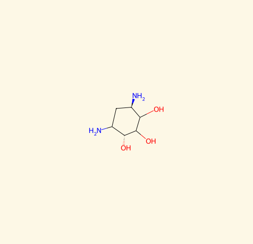 NC1C[C@@H](N)C(O)C(O)[C@@H]1O